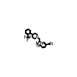 N#Cc1ccc2nnc(CN3CCC(c4ccccc4C(F)(F)F)CC3)n2c1